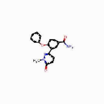 Cn1nc(-c2cc(C(N)=O)ccc2Oc2ccccc2)ccc1=O